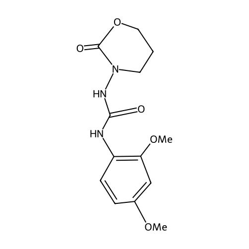 COc1ccc(NC(=O)NN2CCCOC2=O)c(OC)c1